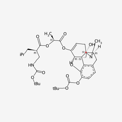 CC(C)C[C@H](CNC(=O)OC(C)(C)C)C(=O)O[C@@H](C)C(=O)OC1=CC[C@@]2(O)[C@H]3Cc4ccc(OC(=O)OC(C)(C)C)c5c4[C@@]2(CCN3C)[C@H]1O5